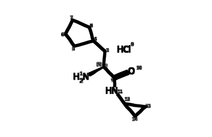 Cl.N[C@@H](CC1CCCC1)C(=O)NC1CC1